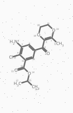 CC1=C(C(=O)c2cc(N)c(Cl)c(C(=O)OC(C)C)c2)OCCO1